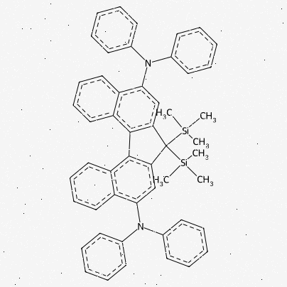 C[Si](C)(C)C1([Si](C)(C)C)c2cc(N(c3ccccc3)c3ccccc3)c3ccccc3c2-c2c1cc(N(c1ccccc1)c1ccccc1)c1ccccc21